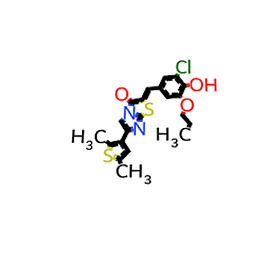 CCCOc1cc(/C=c2\sc3nc(-c4cc(C)sc4C)cn3c2=O)cc(Cl)c1O